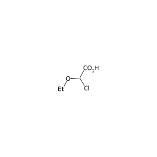 CCOC(Cl)C(=O)O